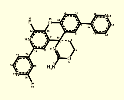 NC1=N[C@]2(CCO1)c1cc(-c3cccnc3)ccc1Oc1c2cc(-c2ccnc(F)c2)nc1F